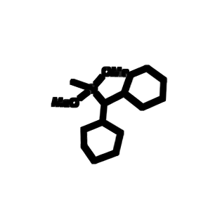 CO[Si](C)(OC)C(C1CCCCC1)C1CCCCC1